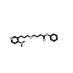 CN(C)c1ccncc1CCCOCCCC(=O)Oc1ccccc1